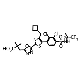 C[C@H](NS(=O)(=O)c1ccc(-c2sc(-c3nnc(CC(C)(C)C(=O)O)o3)nc2CC2CCC2)c(Cl)c1Cl)C(F)(F)F